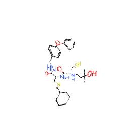 CC(C)(O)CCN[C@@H](CS)C(=O)N[C@@H](CSCC1CCCCC1)C(=O)NCc1ccc(Oc2ccccc2)cc1